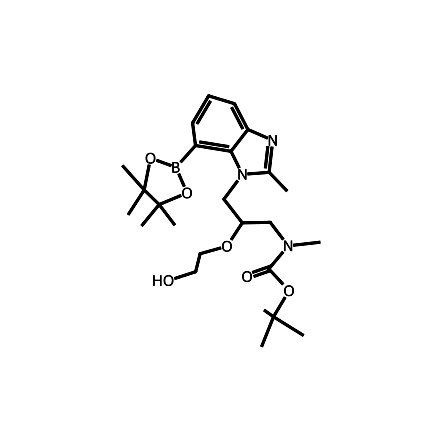 Cc1nc2cccc(B3OC(C)(C)C(C)(C)O3)c2n1CC(CN(C)C(=O)OC(C)(C)C)OCCO